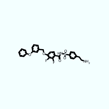 NCCc1ccc(S(=O)(=O)NC(=O)c2ccc(OCc3cccc(Oc4ccccc4)c3)c(F)c2F)cc1